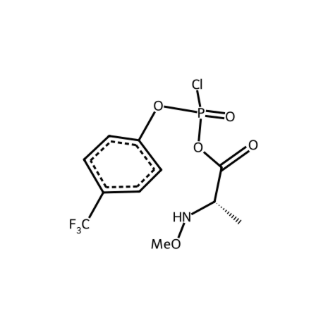 CON[C@@H](C)C(=O)OP(=O)(Cl)Oc1ccc(C(F)(F)F)cc1